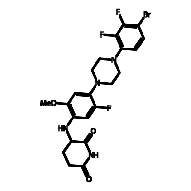 COc1cc(N2CCN(c3ccc(Br)c(F)c3F)CC2)c(F)cc1NC1CCC(=O)NC1=O